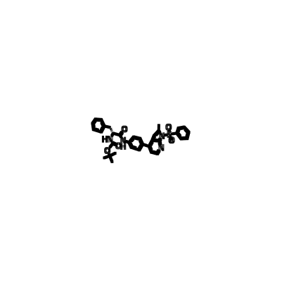 Cc1cc2c(-c3ccc(NC(=O)[C@@H](Cc4ccccc4)NC(=O)OC(C)(C)C)cc3)ccnc2n1S(=O)(=O)c1ccccc1